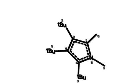 Cc1c(C(C)(C)C)c(C(C)(C)C)c(C(C)(C)C)n1C